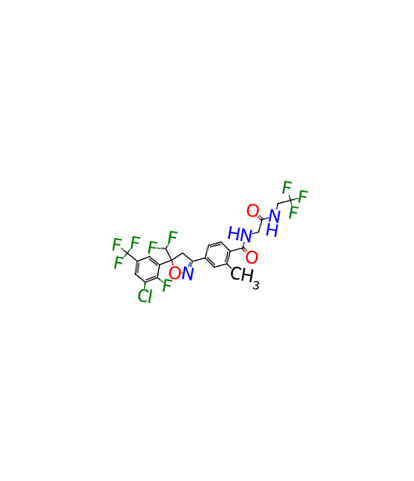 Cc1cc(C2=NOC(c3cc(C(F)(F)F)cc(Cl)c3F)(C(F)F)C2)ccc1C(=O)NCC(=O)NCC(F)(F)F